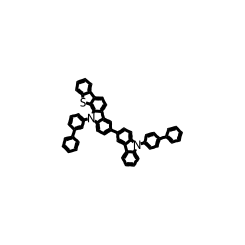 c1ccc(-c2ccc(-n3c4ccccc4c4cc(-c5ccc6c(c5)c5ccc7c8ccccc8sc7c5n6-c5cccc(-c6ccccc6)c5)ccc43)cc2)cc1